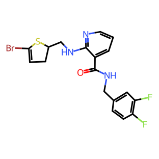 O=C(NCc1ccc(F)c(F)c1)c1cccnc1NCC1CC=C(Br)S1